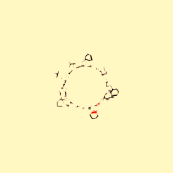 CC[C@H](C)[C@@H]1NC(=O)[C@H](Cc2ccccc2)N(C)C(=O)CN(C)C(=O)C[C@@H](C(=O)N2CCCCC2)NC(=O)[C@H](C(C)C)N(C)C(=O)[C@H](COC(C)(C)C)NC(=O)[C@H](CC(C)C)N(C)C(=O)[C@H](Cc2ccccc2)N(C)C(=O)CN(C)C(=O)[C@H]([C@@H](C)O)NC(=O)[C@H](Cc2ccccc2)N(C)C1=O